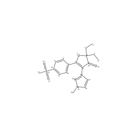 CCC1(CC)OC(c2ccc(S(C)(=O)=O)cc2)=C(c2ccn(C)n2)C1=O